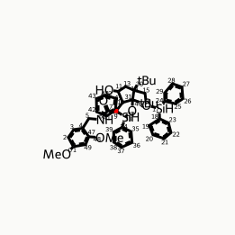 COc1ccc(CNC(=O)CC2C(O)CC(CO[SiH](c3ccccc3)c3ccccc3)(C(C)(C)C)C2(O[SiH](c2ccccc2)c2ccccc2)C(C)(C)C)c(OC)c1